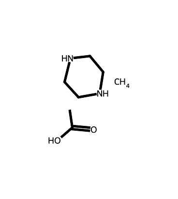 C.C1CNCCN1.CC(=O)O